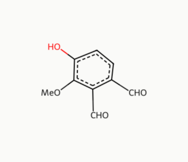 COc1c(O)ccc(C=O)c1C=O